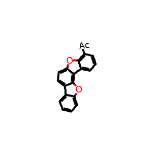 CC(=O)c1cccc2c1oc1ccc3c4ccccc4oc3c12